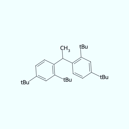 CC(c1ccc(C(C)(C)C)cc1C(C)(C)C)c1ccc(C(C)(C)C)cc1C(C)(C)C